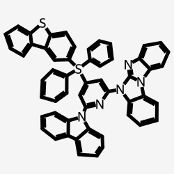 c1ccc(S(c2ccccc2)(c2cc(-n3c4ccccc4c4ccccc43)nc(-n3c4ccccc4n4c5ccccc5nc34)c2)c2ccc3sc4ccccc4c3c2)cc1